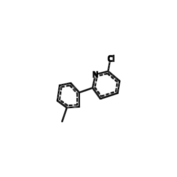 Cc1cccc(-c2cccc(Cl)n2)c1